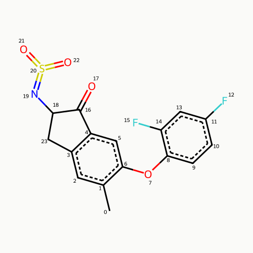 Cc1cc2c(cc1Oc1ccc(F)cc1F)C(=O)C(N=S(=O)=O)C2